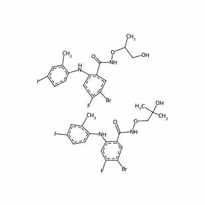 Cc1cc(I)ccc1Nc1cc(F)c(Br)cc1C(=O)NOC(C)CO.Cc1cc(I)ccc1Nc1cc(F)c(Br)cc1C(=O)NOCC(C)(C)O